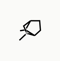 CN1CC2CCC1N2C